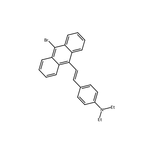 CCN(CC)c1ccc(C=Cc2c3ccccc3c(Br)c3ccccc23)cc1